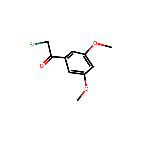 COc1[c]c(OC)cc(C(=O)CBr)c1